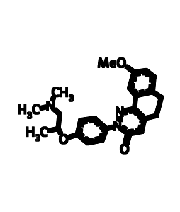 COc1ccc2c(c1)-c1nn(-c3ccc(OC(C)CN(C)C)cc3)c(=O)cc1CC2